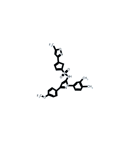 Cc1ccc(-n2nc(-c3ccc(OC(F)(F)F)cc3)cc2NS(=O)(=O)C2=CC=C(c3cc(C(F)(F)F)on3)C2)cc1C